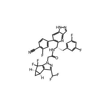 N#Cc1ccc(-c2cc3[nH]ncc3nc2[C@H](Cc2cc(F)cc(F)c2)NC(=O)Cn2nc(C(F)F)c3c2C(F)(F)[C@@H]2C[C@H]32)cc1F